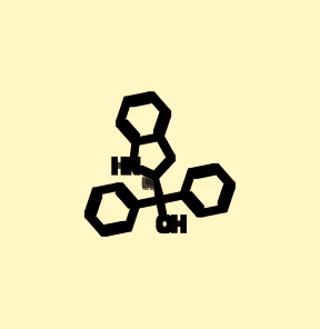 OC(c1ccccc1)(c1ccccc1)[C@@H]1Cc2ccccc2N1